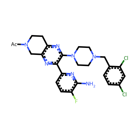 CC(=O)N1CCc2nc(N3CCN(Cc4ccc(Cl)cc4Cl)CC3)c(-c3ccc(F)c(N)n3)nc2C1